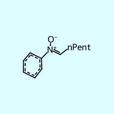 CCCCCC=[N+]([O-])c1ccccc1